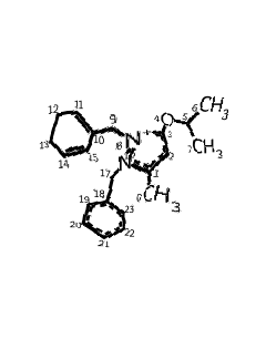 Cc1cc(OC(C)C)[n+](CC2=CCCC=C2)n1Cc1ccccc1